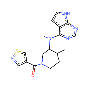 CC1CCN(C(=O)c2cnsc2)CC1N(C)c1ncnc2[nH]ccc12